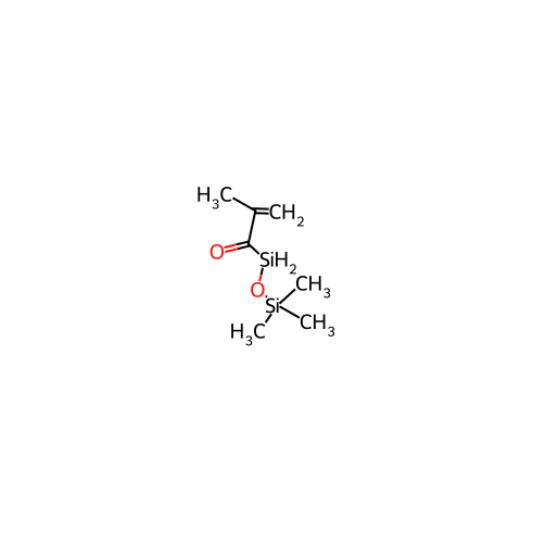 C=C(C)C(=O)[SiH2]O[Si](C)(C)C